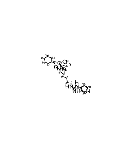 N=C(NCCCCCCN(OCC1CCCCC1)S(=O)(=O)CC(F)(F)F)Nc1ccncc1